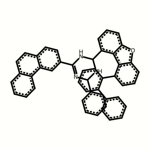 c1ccc(-c2ccccc2-c2cccc3oc4cccc(C5NC(c6ccc7ccc8ccccc8c7c6)=NC(c6ccccc6)N5)c4c23)cc1